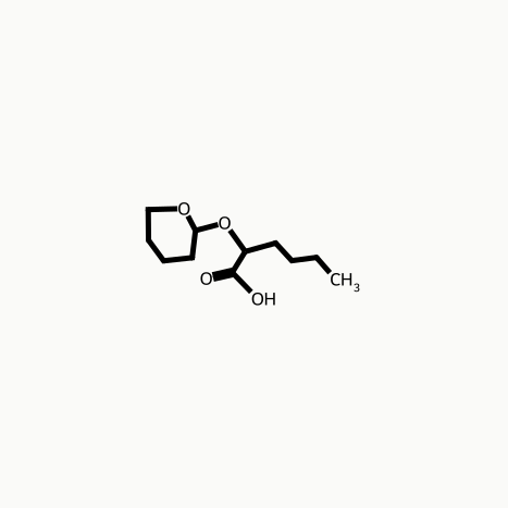 CCCCC(OC1CCCCO1)C(=O)O